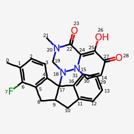 Cc1ccc2c(c1F)CC1Cc3ccccc3C21N1CN(C)C(=O)c2c(O)c(=O)ccn21